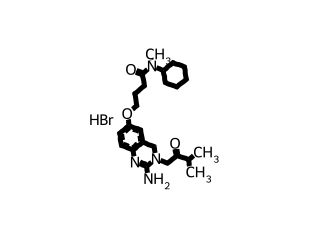 Br.CC(C)C(=O)CN1Cc2cc(OCCCC(=O)N(C)C3CCCCC3)ccc2N=C1N